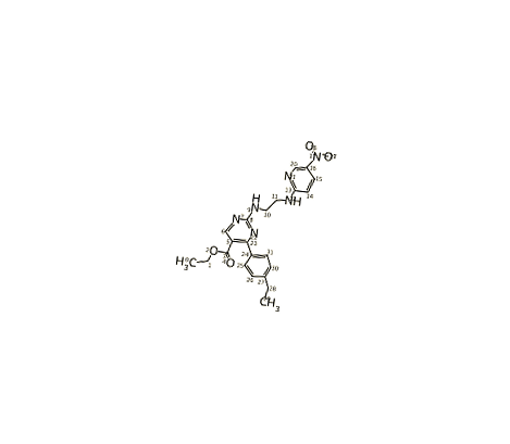 CCOC(=O)c1cnc(NCCNc2ccc([N+](=O)[O-])cn2)nc1-c1ccc(CC)cc1